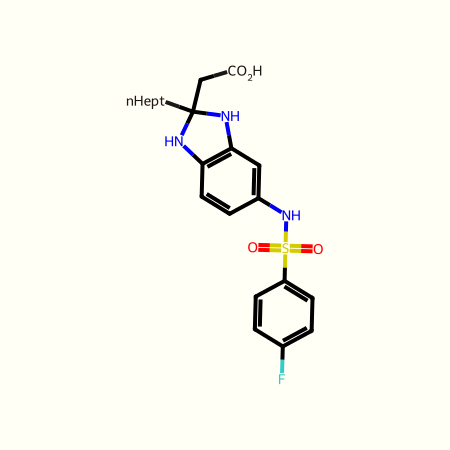 CCCCCCCC1(CC(=O)O)Nc2ccc(NS(=O)(=O)c3ccc(F)cc3)cc2N1